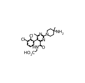 Cc1nc(N2CCC(C)(N)CC2)nc(C(=O)NCC(=O)O)c1-c1cccc(Cl)c1Cl